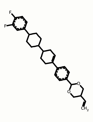 C=CC1COC(c2ccc(C3=CCC(C4CCC(c5ccc(F)c(F)c5)CC4)CC3)cc2)OC1